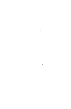 Cc1cc(Nc2ccc3c4c2C(=O)c2ccccc2-c4c(C(=O)c2cccc(S(=O)(=O)O)c2)c(=O)n3C)c(S(=O)(=O)O)cc1S(=O)(=O)O